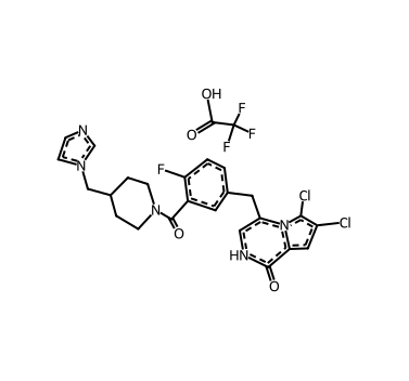 O=C(O)C(F)(F)F.O=C(c1cc(Cc2c[nH]c(=O)c3cc(Cl)c(Cl)n23)ccc1F)N1CCC(Cn2ccnc2)CC1